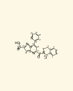 C[C@@H]1c2ccccc2CCN1C(=O)c1cc(-c2ccccn2)n2nc(S(=O)O)cc2n1